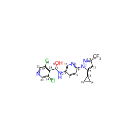 OC(Nc1ccc(-n2nc(C(F)(F)F)cc2C2CC2)nc1)c1c(Cl)cncc1Cl